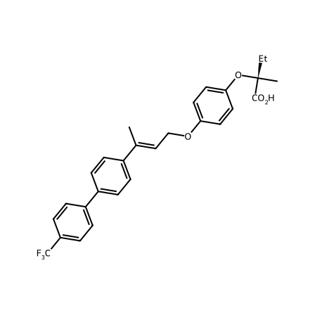 CC[C@](C)(Oc1ccc(OC/C=C(\C)c2ccc(-c3ccc(C(F)(F)F)cc3)cc2)cc1)C(=O)O